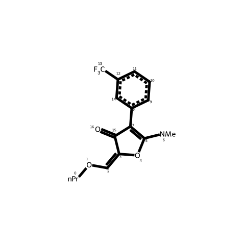 CCCO/C=C1/OC(NC)=C(c2cccc(C(F)(F)F)c2)C1=O